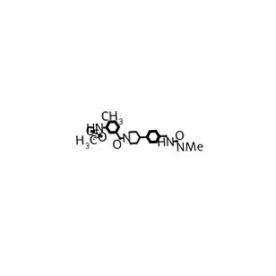 CNC(=O)NCc1ccc(C2CCN(C(=O)c3ccc(C)c(NS(C)(=O)=O)c3)CC2)cc1